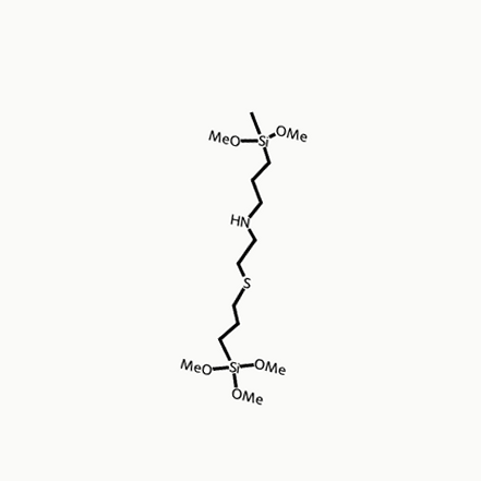 CO[Si](C)(CCCNCCSCCC[Si](OC)(OC)OC)OC